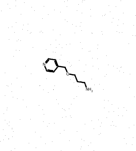 NCCCOCc1ccncc1